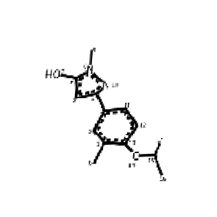 Cc1cc(-c2cc(O)n(C)n2)ccc1OC(C)C